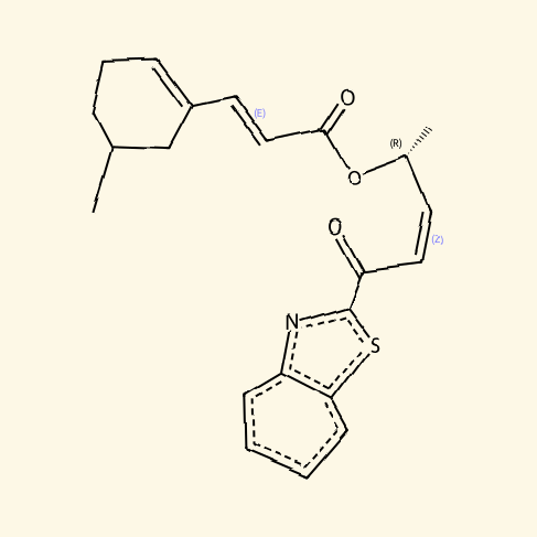 CC1CCC=C(/C=C/C(=O)O[C@H](C)/C=C\C(=O)c2nc3ccccc3s2)C1